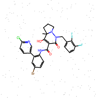 CC12CCCN1N(Cc1cccc(F)c1F)C(=O)C(C(=O)Nc1ccc(Br)cc1-c1ccc(Cl)nc1)=C2O